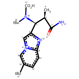 C[C@@H](C(N)=O)[C@@H](c1cn2cc(C(C)(C)C)ccc2n1)N(C(=O)O)C(C)(C)C